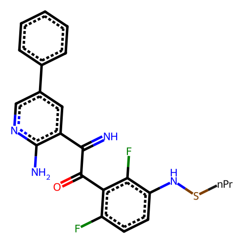 CCCSNc1ccc(F)c(C(=O)C(=N)c2cc(-c3ccccc3)cnc2N)c1F